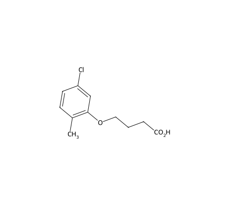 Cc1ccc(Cl)cc1OCCCC(=O)O